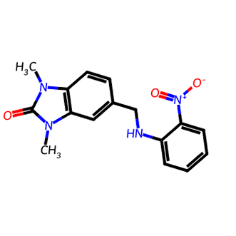 Cn1c(=O)n(C)c2cc(CNc3ccccc3[N+](=O)[O-])ccc21